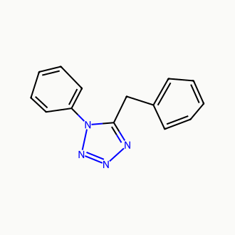 c1ccc(Cc2nnnn2-c2ccccc2)cc1